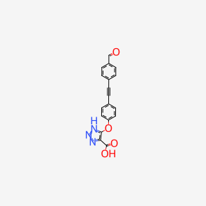 O=Cc1ccc(C#Cc2ccc(Oc3[nH]nnc3C(=O)O)cc2)cc1